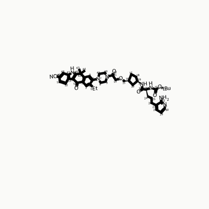 CCc1cc2c(cc1N1CCN(C(=O)COC[C@H]3CC[C@@H](NC(=O)[C@H](CCCc4cccnc4N)NC(=O)OC(C)(C)C)C3)CC1)C(C)(C)c1[nH]c3cc(C#N)ccc3c1C2=O